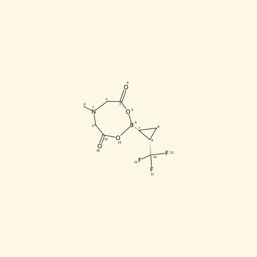 CN1CC(=O)OB([C@@H]2C[C@@H]2C(F)(F)F)OC(=O)C1